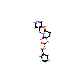 O=C(N[C@H]1CCC(=O)N(Cc2ccncc2)C1=O)OCc1ccccc1